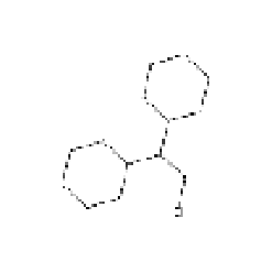 ClCC(C1CCCCC1)C1CCCCC1